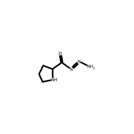 NN=NC(=O)C1CCCN1